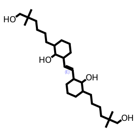 CC(C)(CO)CCCCC1CCCC(/C=C/C2CCCC(CCCCC(C)(C)CO)C2O)C1O